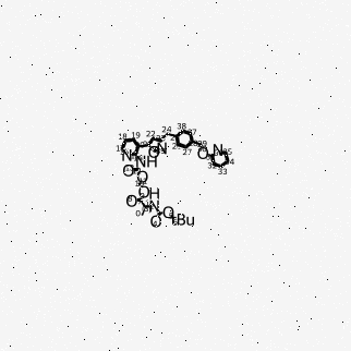 C[C@H](NC(=O)OC(C)(C)C)C(=O)OCOC(=O)Nc1ncccc1-c1cc(Cc2ccc(COc3ccccn3)cc2)no1